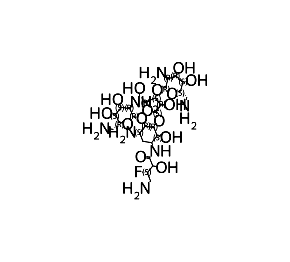 NC[C@@H]1O[C@H](O[C@H]2[C@@H](O)[C@H](O[C@H]3[C@H](O[C@H]4O[C@H](CN)[C@@H](O)[C@@H](O)[C@H]4N)[C@@H](N)CC(NC(=O)C(O)[C@@H](F)CN)[C@@H]3O)O[C@@H]2CO)[C@H](N)[C@@H](O)[C@@H]1O